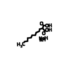 CCCCCCCCCCC(C(=O)O)C(=O)O.[KH].[NaH]